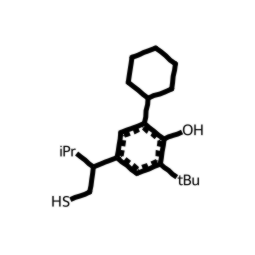 CC(C)C(CS)c1cc(C2CCCCC2)c(O)c(C(C)(C)C)c1